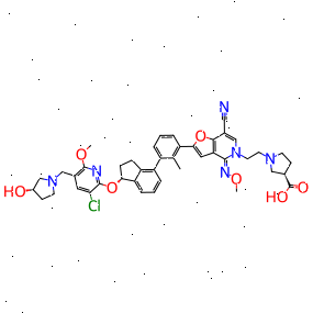 CO/N=c1/c2cc(-c3cccc(-c4cccc5c4CC[C@@H]5Oc4nc(OC)c(CN5CC[C@@H](O)C5)cc4Cl)c3C)oc2c(C#N)cn1CCN1CC[C@@H](C(=O)O)C1